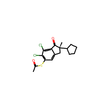 CC(=O)Sc1cc2c(c(Cl)c1Cl)C(=O)[C@](C)(C1CCCC1)C2